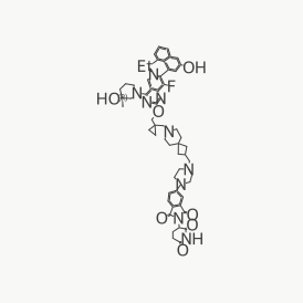 CCc1cccc2cc(O)cc(-c3ncc4c(N5CCC[C@@](C)(O)C5)nc(OCC5(CN6CCC7(CC6)CC(CN6CCN(c8ccc9c(c8)C(=O)N(C8CCC(=O)NC8=O)C9=O)CC6)C7)CC5)nc4c3F)c12